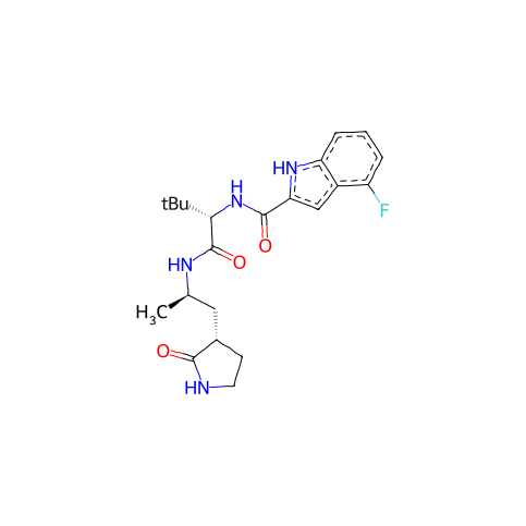 C[C@H](C[C@@H]1CCNC1=O)NC(=O)[C@@H](NC(=O)c1cc2c(F)cccc2[nH]1)C(C)(C)C